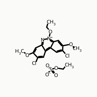 CCOS(=O)(=O)[O-].CCO[n+]1nc2cc(OC)c(Cl)cc2c2cc(Cl)c(OC)cc21